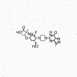 CC(Oc1cc(F)c(N2CCN(c3nc4c(nnn4C)c(=O)[nH]3)CC2)c(F)c1)[C@@](C)(N)C(=O)O.Cl